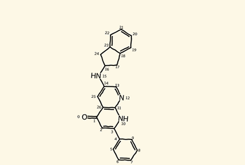 O=c1cc(-c2ccccc2)[nH]c2ncc(NC3Cc4ccccc4C3)cc12